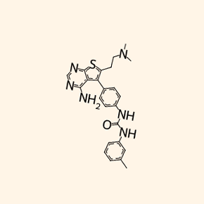 Cc1cccc(NC(=O)Nc2ccc(-c3c(CCN(C)C)sc4ncnc(N)c34)cc2)c1